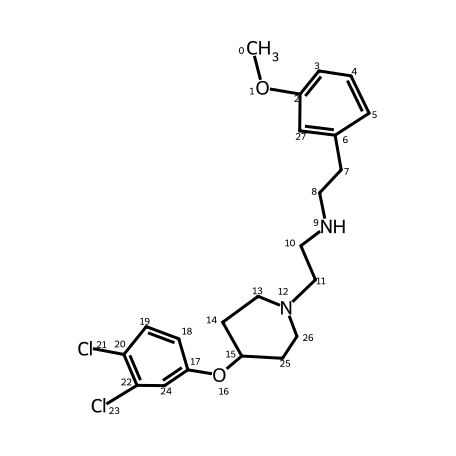 COc1cccc(CCNCCN2CCC(Oc3ccc(Cl)c(Cl)c3)CC2)c1